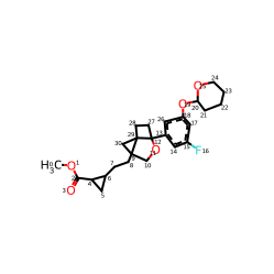 COC(=O)C1CC1CCC12COC3(c4cc(F)cc(OC5CCCCO5)c4)CCC13C2